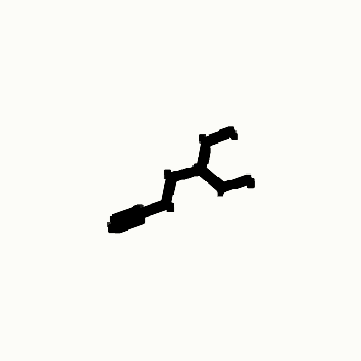 [C]#CCCC(CC)CC